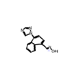 O/N=C/c1ccc(-n2cncn2)c2ccccc12